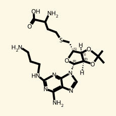 CC1(C)O[C@@H]2[C@H](O1)[C@@H](CSCCC(N)C(=O)O)O[C@H]2n1cnc2c(N)nc(NCCCN)nc21